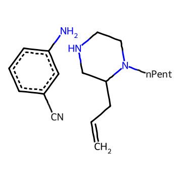 C=CCC1CNCCN1CCCCC.N#Cc1cccc(N)c1